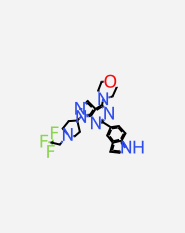 FC(F)(F)CN1CCC(n2ncc3c(N4CCOCC4)nc(-c4ccc5[nH]ccc5c4)nc32)CC1